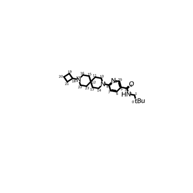 CC(C)(C)CNC(=O)c1ccc(N2CCC3(CC2)CCN(C2CCC2)CC3)nc1